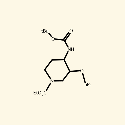 CCCOC1CN(C(=O)OCC)CCC1NC(=O)OC(C)(C)C